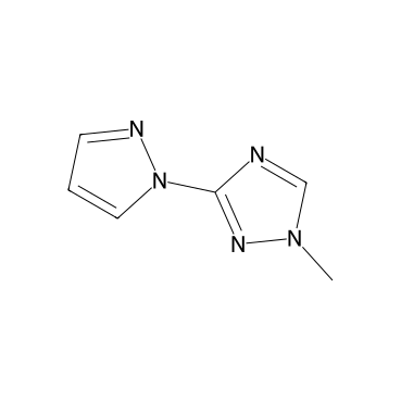 Cn1cnc(-n2cccn2)n1